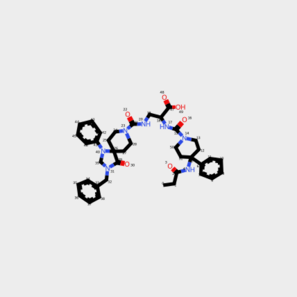 CCC(=O)NC1(c2ccccc2)CCN(C(=O)NC(CNC(=O)N2CCC3(CC2)C(=O)N(Cc2ccccc2)CN3c2ccccc2)C(=O)O)CC1